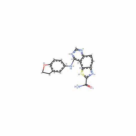 NC(=O)c1nc2ccc3ncnc(Nc4ccc5c(c4)CCO5)c3c2s1